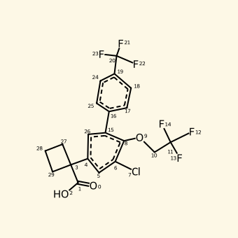 O=C(O)C1(c2cc(Cl)c(OCC(F)(F)F)c(-c3ccc(C(F)(F)F)cc3)c2)CCC1